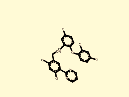 Clc1ccc(Oc2ccc(Cl)cc2Cl)c(Cl)c1.OCc1cc(-c2ncccn2)c(Cl)cc1Cl